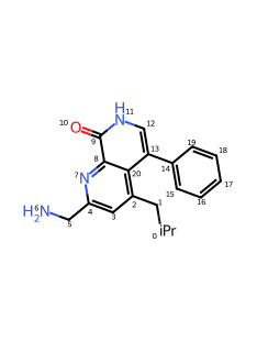 CC(C)Cc1cc(CN)nc2c(=O)[nH]cc(-c3ccccc3)c12